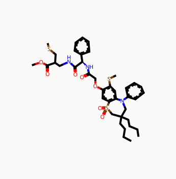 CCCCC1(CCCC)CN(c2ccccc2)c2cc(SC)c(OCC(=O)N[C@@H](C(=O)NCC(CSC)C(=O)OC)c3ccccc3)cc2S(=O)(=O)C1